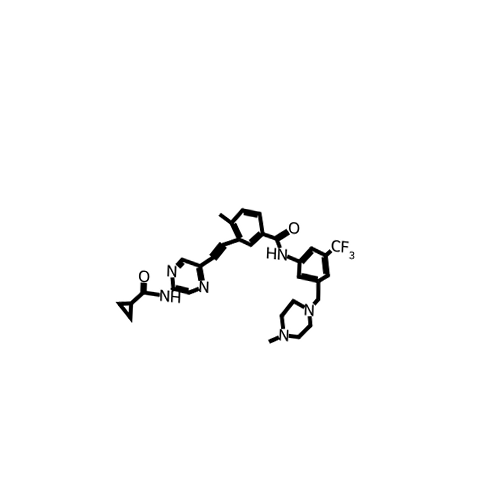 Cc1ccc(C(=O)Nc2cc(CN3CCN(C)CC3)cc(C(F)(F)F)c2)cc1C#Cc1cnc(NC(=O)C2CC2)cn1